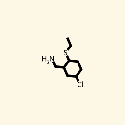 CCSC1CCC(Cl)CC1CN